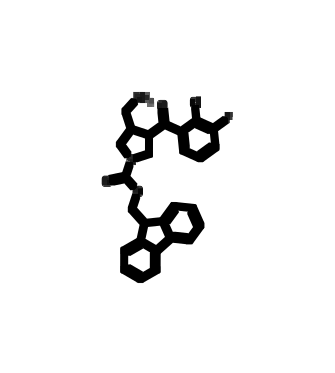 NCC1CN(C(=O)OCC2c3ccccc3-c3ccccc32)CC1C(=O)c1cccc(F)c1Cl